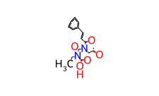 CCN(C(=O)O)C(=O)N(C[C]=O)C(=O)C=Cc1ccccc1